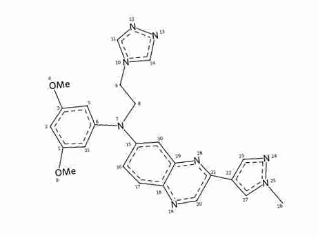 COc1cc(OC)cc(N(CCn2cnnc2)c2ccc3ncc(-c4cnn(C)c4)nc3c2)c1